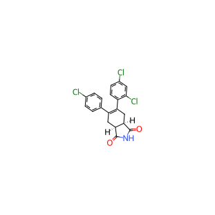 O=C1NC(=O)[C@@H]2CC(c3ccc(Cl)cc3Cl)=C(c3ccc(Cl)cc3)C[C@H]12